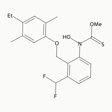 CCc1cc(C)c(OCc2c(C(F)F)cccc2N(O)C(=S)OC)cc1C